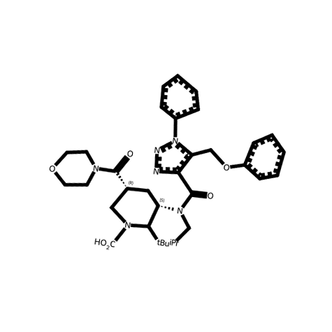 CC(C)CN(C(=O)c1nnn(-c2ccccc2)c1COc1ccccc1)[C@H]1C[C@@H](C(=O)N2CCOCC2)CN(C(=O)O)C1C(C)(C)C